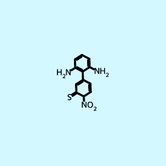 Nc1cccc(N)c1C1=CC(=S)C([N+](=O)[O-])C=C1